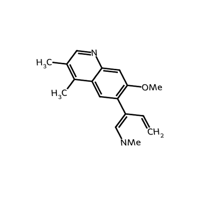 C=C/C(=C\NC)c1cc2c(C)c(C)cnc2cc1OC